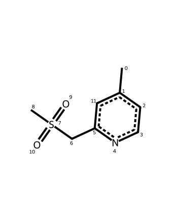 Cc1ccnc(CS(C)(=O)=O)c1